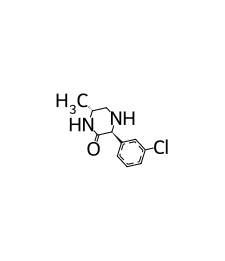 C[C@@H]1CN[C@@H](c2cccc(Cl)c2)C(=O)N1